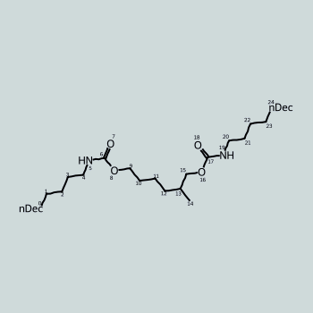 CCCCCCCCCCCCCCNC(=O)OCCCCC(C)COC(=O)NCCCCCCCCCCCCCC